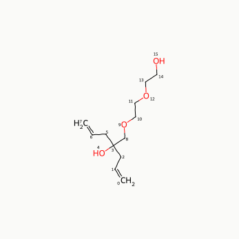 C=CCC(O)(CC=C)COCCOCCO